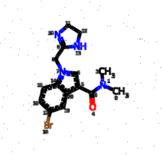 CN(C)C(=O)c1cn(CC2=NCCN2)c2ccc(Br)cc12